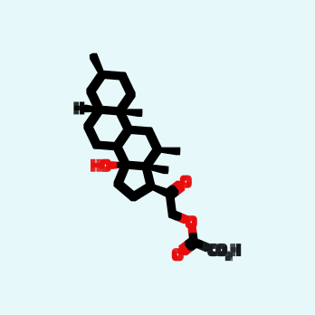 C[C@H]1CC[C@]2(C)C3C[C@@H](C)[C@]4(C)[C@@H](C(=O)COC(=O)C(=O)O)CC[C@]4(O)C3CC[C@@H]2C1